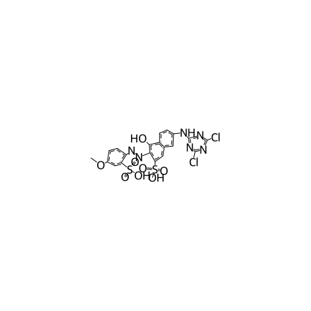 COc1ccc(N=Nc2c(S(=O)(=O)O)cc3cc(Nc4nc(Cl)nc(Cl)n4)ccc3c2O)c(S(=O)(=O)O)c1